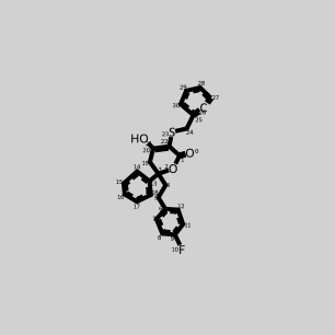 O=C1OC(CCc2ccc(F)cc2)(c2ccccc2)CC(O)=C1SCc1ccccc1